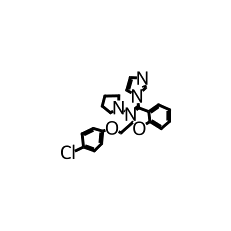 Clc1ccc(OCCOc2ccccc2C(=NN2CCCC2)n2ccnc2)cc1